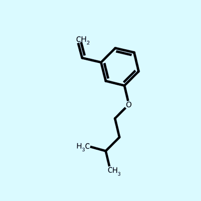 C=Cc1cccc(OCCC(C)C)c1